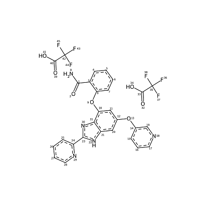 NC(=O)c1ccccc1Oc1cc(Oc2cccnc2)cc2[nH]c(-c3ccccn3)nc12.O=C(O)C(F)(F)F.O=C(O)C(F)(F)F